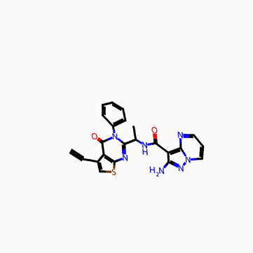 C#Cc1csc2nc(C(C)NC(=O)c3c(N)nn4cccnc34)n(-c3ccccc3)c(=O)c12